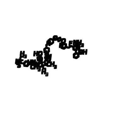 Cc1ncsc1-c1ccc([C@H](C)NC(=O)[C@@H]2C[C@@H](O)CN2C(O)[C@@H](c2cc(N3CCC(CN4CCC(O[C@H]5C[C@H](Oc6cc(CC(F)c7cc(-c8ccccc8O)nnc7N)ccn6)C5)CC4)CC3)no2)C(C)C)cc1